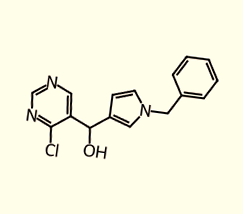 OC(c1ccn(Cc2ccccc2)c1)c1cncnc1Cl